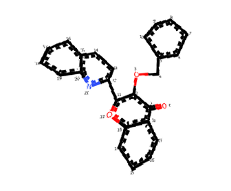 O=c1c(OCc2ccccc2)c(-c2ccc3ccccc3n2)oc2ccccc12